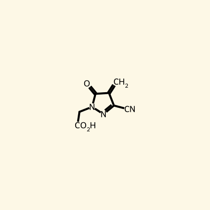 C=C1C(=O)N(CC(=O)O)N=C1C#N